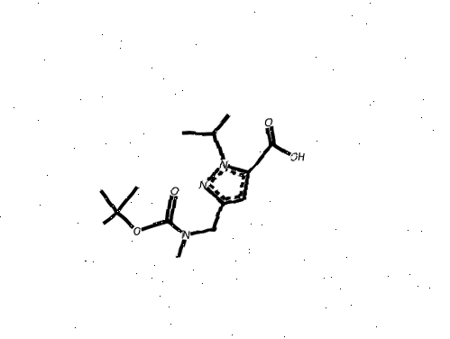 CC(C)n1nc(CN(C)C(=O)OC(C)(C)C)cc1C(=O)O